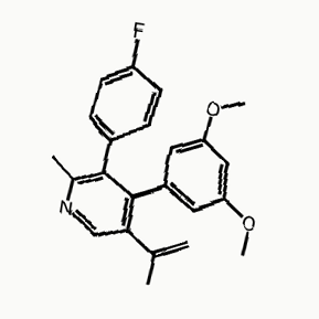 C=C(C)c1cnc(C)c(-c2ccc(F)cc2)c1-c1cc(OC)cc(OC)c1